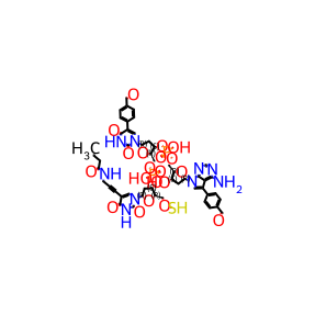 CCCC(=O)NCC#Cc1cn([C@H]2C[C@H](OP(=O)(O)OC[C@H]3O[C@@H](n4cc(-c5ccc(C=O)cc5)c(=O)[nH]c4=O)C[C@@H]3OP(=O)(O)OC[C@H]3O[C@@H](n4cc(-c5ccc(C=O)cc5)c5c(N)ncnc54)C[C@@H]3O)[C@@H](COS)O2)c(=O)[nH]c1=O